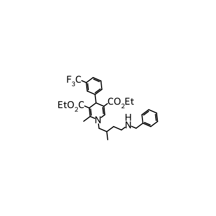 CCOC(=O)C1=CN(CC(C)CCNCc2ccccc2)C(C)=C(C(=O)OCC)C1c1cccc(C(F)(F)F)c1